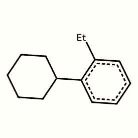 CCc1ccccc1C1CCCCC1